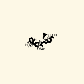 CC[C@](C)(O)c1ccc2cc(-c3nc4cc(C(=O)N5[C@H]6CC[C@@H]5[C@H](N)C6)cc(OC)n4c3C)n(CC3CC3)c2n1